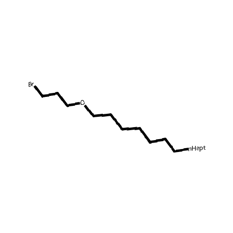 CCCCCCCCCCCCCCOCCCBr